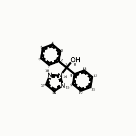 OC(c1ccccc1)(c1ccccc1)n1nccn1